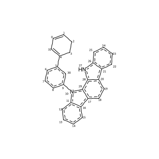 C1=CCCC(c2cccc(-n3c4ccccc4c4ccc5c6ccccc6[nH]c5c43)c2)=C1